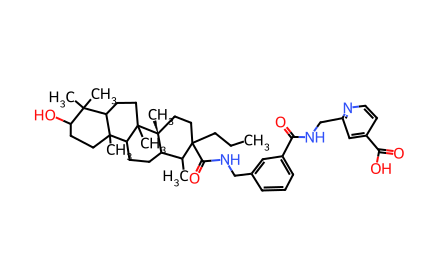 CCCC1(C(=O)NCc2cccc(C(=O)NCc3cc(C(=O)O)ccn3)c2)CC[C@]2(C)C(CCC3C4(C)CCC(O)C(C)(C)C4CCC32C)C1C